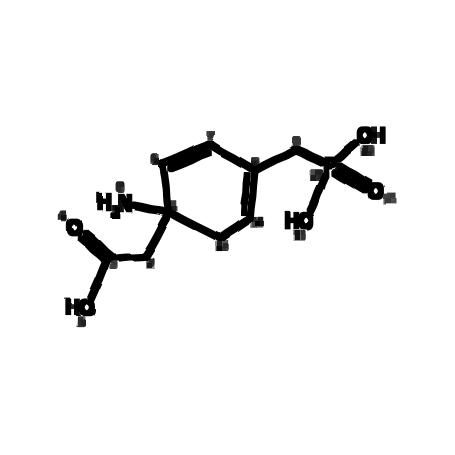 NC1(CC(=O)O)C=CC(CP(=O)(O)O)=CC1